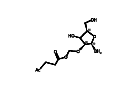 B[C@@H]1O[C@H](CO)C(O)[C@@H]1OCOC(=O)CCC(C)=O